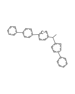 CC(c1ccc(-c2ccccc2)cc1)c1ccc(-c2ccc(-c3ccccc3)cc2)cc1